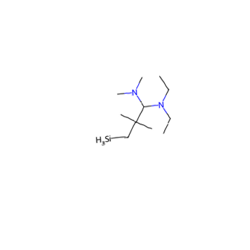 CCN(CC)C(N(C)C)C(C)(C)C[SiH3]